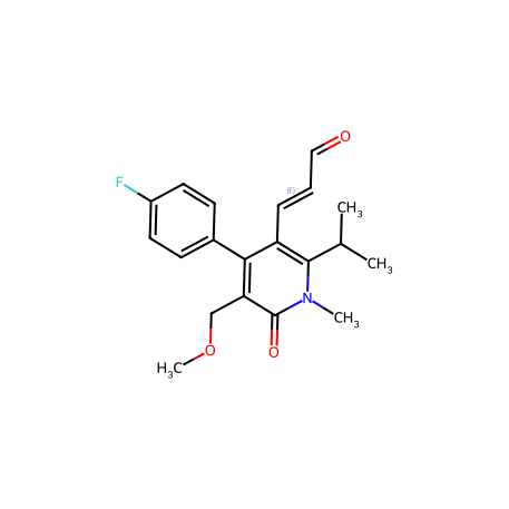 COCc1c(-c2ccc(F)cc2)c(/C=C/C=O)c(C(C)C)n(C)c1=O